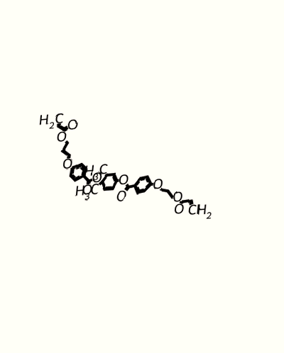 C=CC(=O)OCCCOc1ccc(C(=O)OC2=CC(C)C(C)(OC(=O)c3ccc(OCCCOC(=O)C=C)cc3)C=C2)cc1